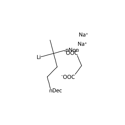 O=C([O-])CC(=O)[O-].[Li][C](C)(CCCCCCCCC)CCCCCCCCCCCC.[Na+].[Na+]